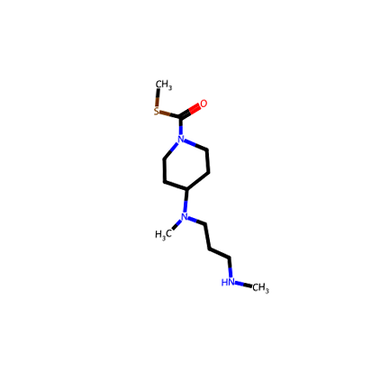 CNCCCN(C)C1CCN(C(=O)SC)CC1